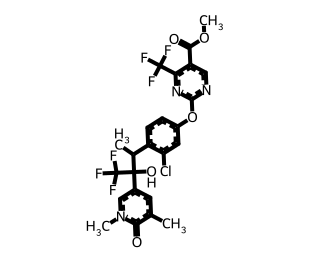 COC(=O)c1cnc(Oc2ccc(C(C)C(O)(c3cc(C)c(=O)n(C)c3)C(F)(F)F)c(Cl)c2)nc1C(F)(F)F